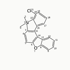 C[Si]1(C)c2ccc3oc4ccccc4c3c2-c2cccc(Cl)c21